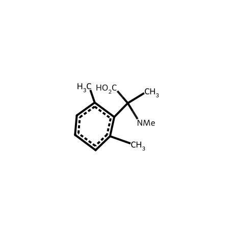 CNC(C)(C(=O)O)c1c(C)cccc1C